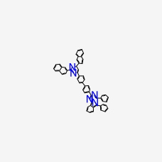 c1ccc(-c2nc(-c3ccc(-c4ccc(-c5cc(-c6ccc7ccccc7c6)nc(-c6ccc7ccccc7c6)n5)cc4)cc3)nc3c4ccccc4c(-c4ccccc4)n23)cc1